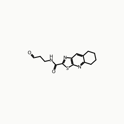 O=CCCNC(=O)c1nc2cc3c(nc2s1)CCCC3